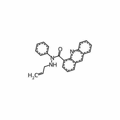 C=CCNN(C(=O)c1cccc2cc3ccccc3nc12)c1ccccc1